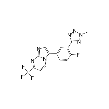 Cn1nnc(-c2cc(-c3cnc4nc(C(F)(F)F)ccn34)ccc2F)n1